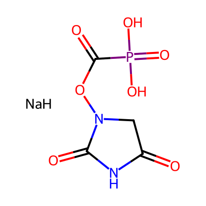 O=C1CN(OC(=O)P(=O)(O)O)C(=O)N1.[NaH]